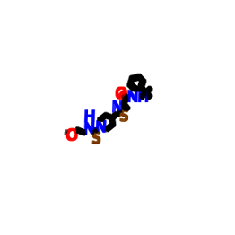 COCCNC(=S)N1CCC(c2nc(C(=O)Nc3ccccc3C(C)(C)C)cs2)CC1